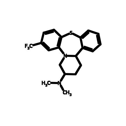 CN(C)C1CCC2c3ccccc3Sc3ccc(C(F)(F)F)cc3N2C1